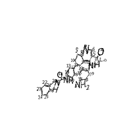 CC(C)C(=O)c1cnc2ccc(-c3ccc(NC(=O)NCc4ccccc4)cc3)cc2c1N[C@H]1CC[C@H](N)CC1